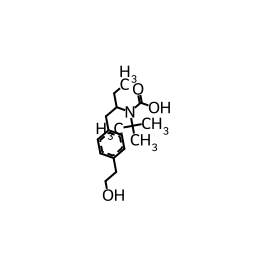 CCC(Cc1ccc(CCO)cc1)N(C(=O)O)C(C)(C)C